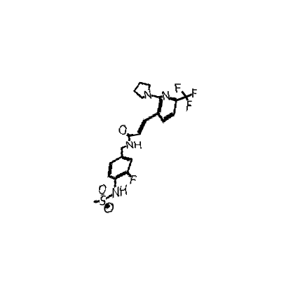 CS(=O)(=O)Nc1ccc(CNC(=O)C=Cc2ccc(C(F)(F)F)nc2N2CCCC2)cc1F